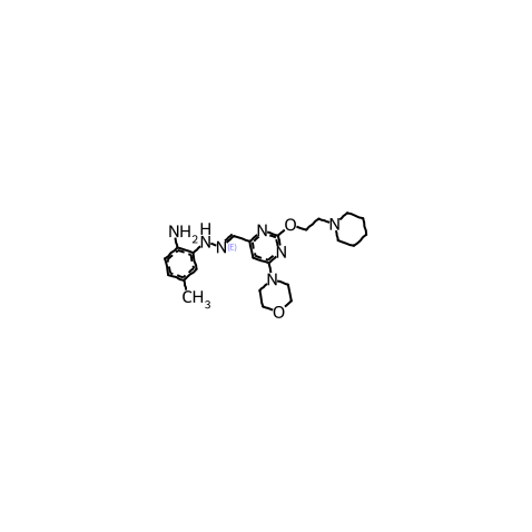 Cc1ccc(N)c(N/N=C/c2cc(N3CCOCC3)nc(OCCN3CCCCC3)n2)c1